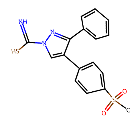 CS(=O)(=O)c1ccc(-c2cn(C(=N)S)nc2-c2ccccc2)cc1